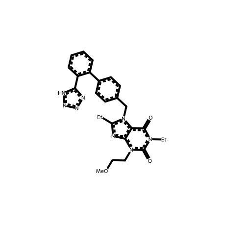 CCc1nc2c(c(=O)n(CC)c(=O)n2CCOC)n1Cc1ccc(-c2ccccc2-c2nnn[nH]2)cc1